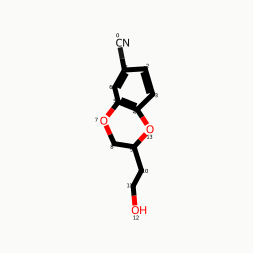 N#Cc1ccc2c(c1)OCC(CCO)O2